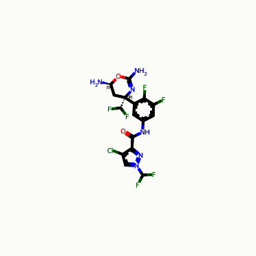 NC1=N[C@](c2cc(NC(=O)c3nn(C(F)F)cc3Cl)cc(F)c2F)(C(F)F)C[C@@H](N)O1